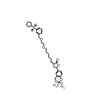 CC1(C)OCc2cc(C3CN(CCCCCCOCCOCc4cccc(S(=O)(=O)C5CCCC5)c4)C(=O)O3)ccc2O1